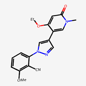 CCOc1cc(=O)n(C)cc1-c1cnn(-c2cccc(OC)c2C#N)c1